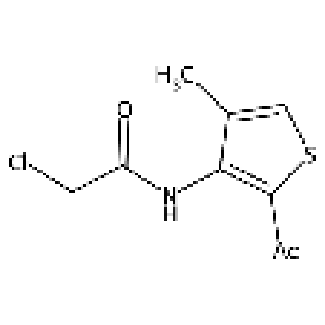 CC(=O)c1scc(C)c1NC(=O)CCl